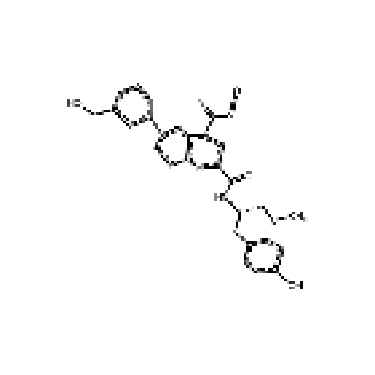 COC[C@H](Cc1ccc(O)cc1)NC(=O)c1cc(C(=O)N=O)c2cc(-c3cccc(CO)c3)ccc2n1